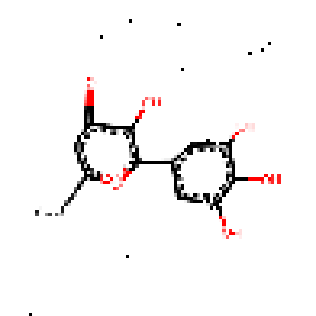 CCCCCCCCc1cc(=O)c(O)c(-c2cc(O)c(O)c(O)c2)o1